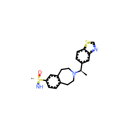 C[C@H](c1ccc2scnc2c1)N1CCc2ccc([S@@](C)(=N)=O)cc2CC1